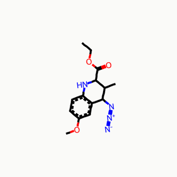 CCOC(=O)C1Nc2ccc(OC)cc2C(N=[N+]=[N-])C1C